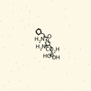 N[C@@H](Cc1ccccc1)C(=O)N1CC(CCCB(O)O)[C@](N)(C(=O)O)C1